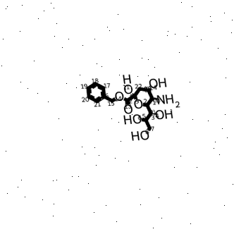 N[C@H]1C([C@H](O)C(O)CO)O[C@@](O)(C(=O)OCc2ccccc2)C[C@H]1O